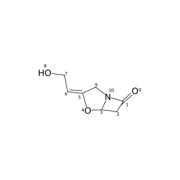 O=C1CC2OC(=CCO)CN12